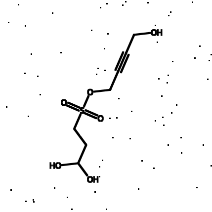 O=S(=O)(CCC(O)O)OCC#CCO